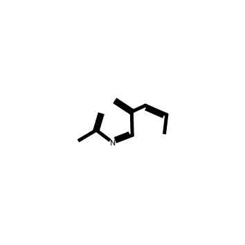 C=C(/C=C\C)/C=N\C(=C)C